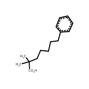 CC(C)(CCCCCc1ccccc1)C(=O)O